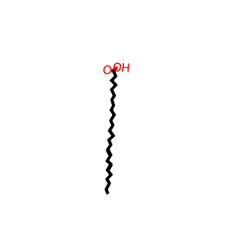 CCCCC/C=C/C/C=C/CCCCCCCCCCCCCCCC(=O)O